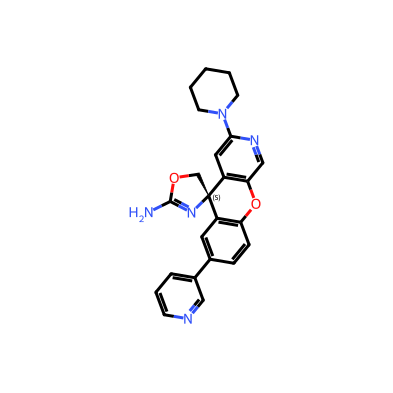 NC1=N[C@@]2(CO1)c1cc(-c3cccnc3)ccc1Oc1cnc(N3CCCCC3)cc12